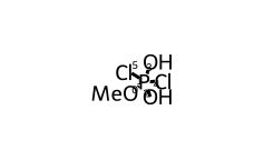 COP(O)(O)(Cl)Cl